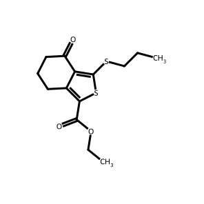 CCCSc1sc(C(=O)OCC)c2c1C(=O)CCC2